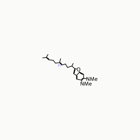 CNc1cc2cc(C(C)CC/C=C(\C)CCC=C(C)C)oc2cc1NC